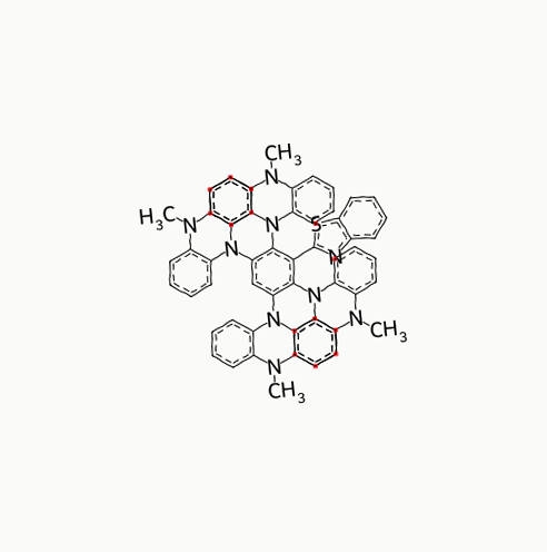 CN1c2ccccc2N(c2cc(N3c4ccccc4N(C)c4ccccc43)c(N3c4ccccc4N(C)c4ccccc43)c(-c3nc4ccccc4s3)c2N2c3ccccc3N(C)c3ccccc32)c2ccccc21